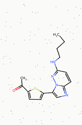 CCCCNc1ccc2ncc(-c3ccc(C(C)=O)s3)n2n1